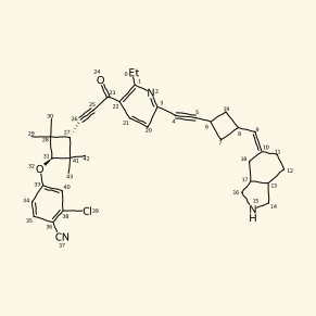 CCc1nc(C#CC2CC(/C=C3/CCC4CNCC4C3)C2)ccc1C(=O)C#C[C@H]1C(C)(C)[C@H](Oc2ccc(C#N)c(Cl)c2)C1(C)C